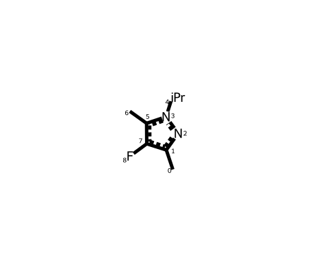 Cc1nn(C(C)C)c(C)c1F